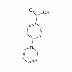 O=C(O)c1ccc(N2C=CC=CC2)cc1